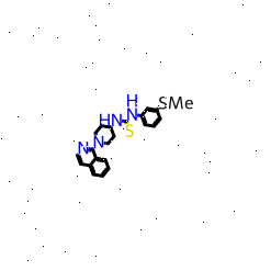 CSc1cccc(NC(=S)NC2CCN(c3nccc4ccccc34)CC2)c1